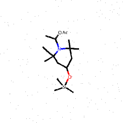 CC(=O)OC(C)N1C(C)(C)CC(O[Si](C)(C)C)CC1(C)C